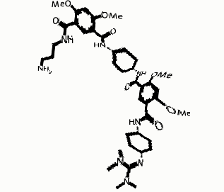 COc1cc(OC)c(C(=O)N[C@H]2CC[C@@H](NC(=O)c3cc(C(=O)N[C@H]4CC[C@@H](N=C(N(C)C)N(C)C)CC4)c(OC)cc3OC)CC2)cc1C(=O)NCCCN